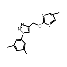 Cc1cnc(OCc2cn(-c3cc(C)cc(C)c3)nn2)nc1